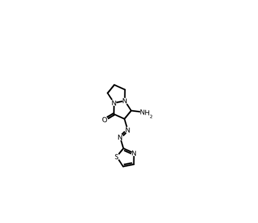 NC1C(/N=N/c2nccs2)C(=O)N2CCCN12